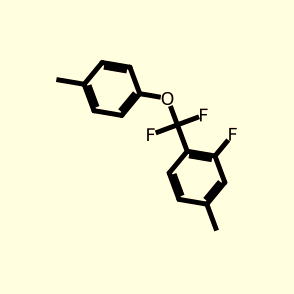 Cc1ccc(OC(F)(F)c2ccc(C)cc2F)cc1